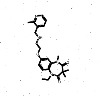 CCN1C(=O)C(C)(C)C(=O)N(C)c2cc(OCCNCc3cccnc3C)ccc21